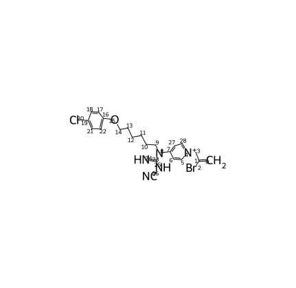 C=C(Br)C[n+]1ccc(N(CCCCCCOc2ccc(Cl)cc2)C(=N)NC#N)cc1